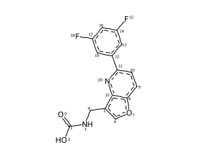 O=C(O)NCc1coc2ccc(-c3cc(F)cc(F)c3)nc12